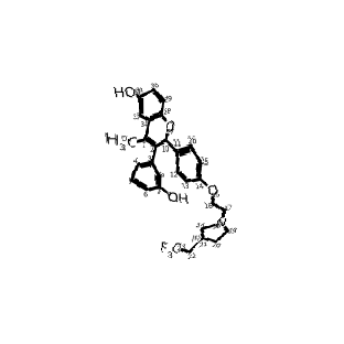 CC1=C(c2cccc(O)c2)C(c2ccc(OCCN3CC[C@@H](CC(F)(F)F)C3)cc2)Oc2ccc(O)cc21